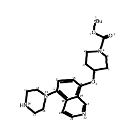 CC(C)(C)OC(=O)N1CCC(Oc2ccc(N3CCNCC3)c3ccncc23)CC1